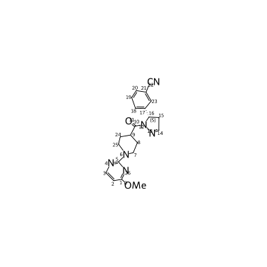 COc1ccnc(N2CCC(C(=O)N3N=CC[C@H]3c3cccc(C#N)c3)CC2)n1